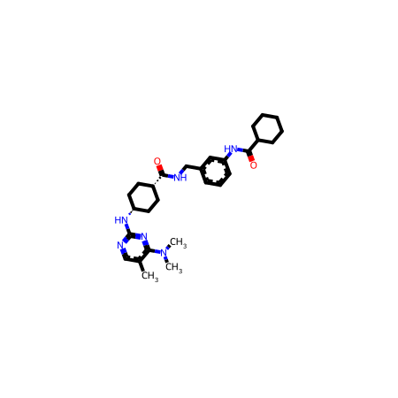 Cc1cnc(N[C@H]2CC[C@@H](C(=O)NCc3cccc(NC(=O)C4CCCCC4)c3)CC2)nc1N(C)C